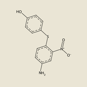 Nc1ccc(Sc2ccc(O)cc2)c([N+](=O)[O-])c1